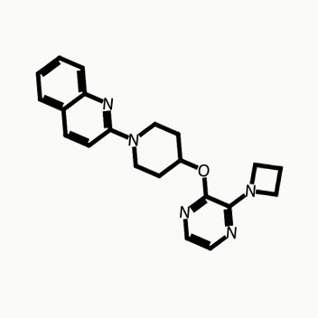 c1ccc2nc(N3CCC(Oc4nccnc4N4CCC4)CC3)ccc2c1